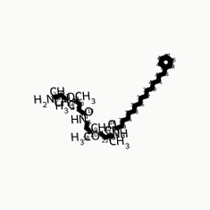 CC(C)(N)CCOC(C)(C)CCC(=O)NCCC(C)(C)OCCC(C)(C)NC(=O)CCCCCCCCCCCCCCCc1ccccc1